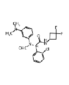 CN(C)c1cccc(N(C=O)[C@H](C(=O)NC2CC(F)(F)C2)c2ccccc2Cl)c1